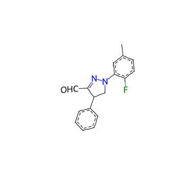 Cc1ccc(F)c(N2CC(c3ccccc3)C(C=O)=N2)c1